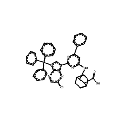 O=C(O)C1C2CCC(CC2)C1Nc1cc(-c2ccccc2)nc(-c2cn(C(c3ccccc3)(c3ccccc3)c3ccccc3)c3ncc(Cl)nc23)n1